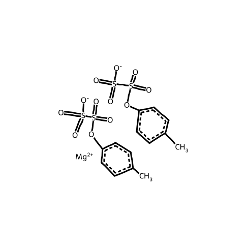 Cc1ccc(OS(=O)(=O)S(=O)(=O)[O-])cc1.Cc1ccc(OS(=O)(=O)S(=O)(=O)[O-])cc1.[Mg+2]